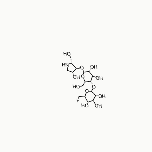 OC[C@H]1NC[C@@H](O)[C@@H]1OC1O[C@H](CO)[C@@H](O[C@@H]2O[C@H](CF)[C@@H](O)[C@H](O)[C@H]2O)[C@H](O)[C@H]1O